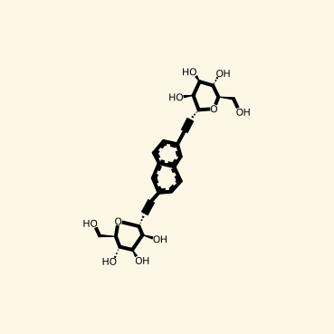 OC[C@H]1O[C@H](C#Cc2ccc3cc(C#C[C@H]4O[C@H](CO)[C@@H](O)[C@H](O)[C@@H]4O)ccc3c2)[C@@H](O)[C@@H](O)[C@@H]1O